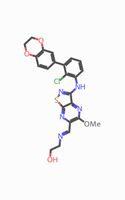 COc1nc2c(Nc3cccc(-c4ccc5c(c4)OCCO5)c3Cl)nsc2nc1C=NCCO